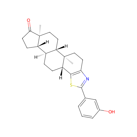 C[C@]12CCc3nc(-c4cccc(O)c4)sc3[C@@H]1CC[C@@H]1[C@@H]2CC[C@]2(C)C(=O)CC[C@@H]12